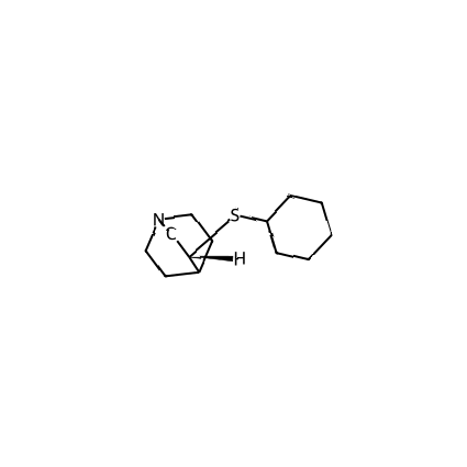 C1CCC(S[C@H]2CN3CCC2CC3)CC1